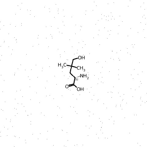 CC(C)(CO)C[C@H](N)C(=O)O